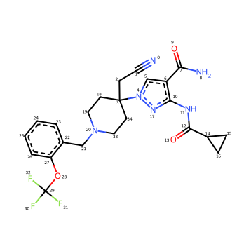 N#CCC1(n2cc(C(N)=O)c(NC(=O)C3CC3)n2)CCN(Cc2ccccc2OC(F)(F)F)CC1